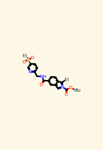 CCc1c2ccc(C(=O)NCc3ccc(S(=O)(=O)CC)cn3)cc2cn1C(=O)OC(C)(C)C